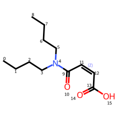 CCCCN(CCCC)C(=O)/C=C\C(=O)O